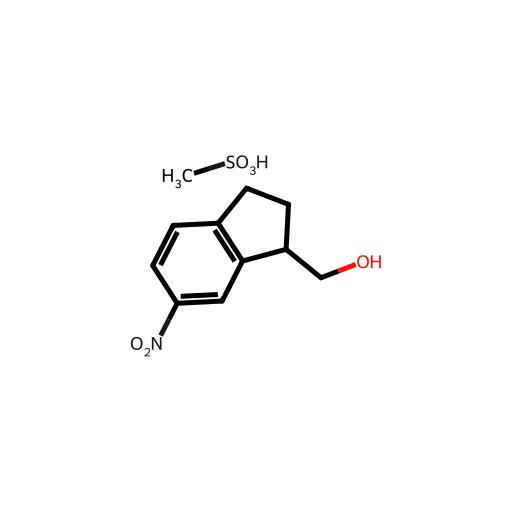 CS(=O)(=O)O.O=[N+]([O-])c1ccc2c(c1)C(CO)CC2